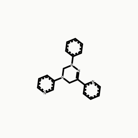 c1ccc(N2CN(c3cccnc3)CC(c3ccccn3)=N2)cc1